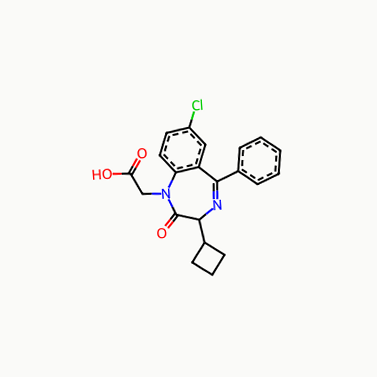 O=C(O)CN1C(=O)C(C2CCC2)N=C(c2ccccc2)c2cc(Cl)ccc21